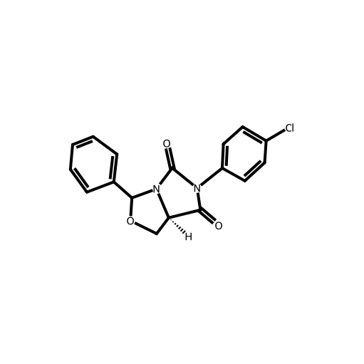 O=C1[C@H]2COC(c3ccccc3)N2C(=O)N1c1ccc(Cl)cc1